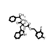 CC(NC(=O)C(C)(Cc1c[nH]c2ccccc12)NC(=O)OCc1ccc(F)cc1F)c1ccccc1